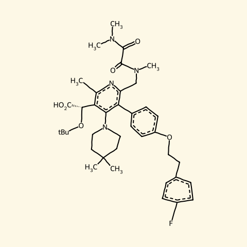 Cc1nc(CN(C)C(=O)C(=O)N(C)C)c(-c2ccc(OCCc3ccc(F)cc3)cc2)c(N2CCC(C)(C)CC2)c1[C@H](OC(C)(C)C)C(=O)O